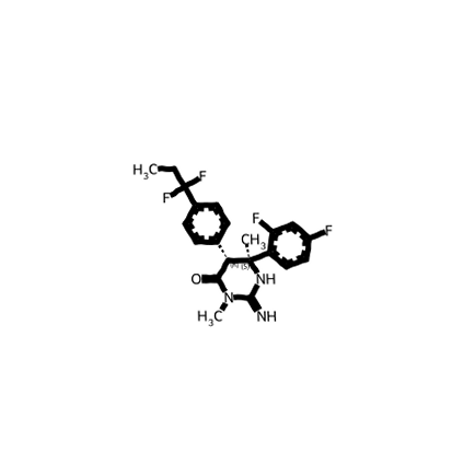 CCC(F)(F)c1ccc([C@H]2C(=O)N(C)C(=N)N[C@]2(C)c2ccc(F)cc2F)cc1